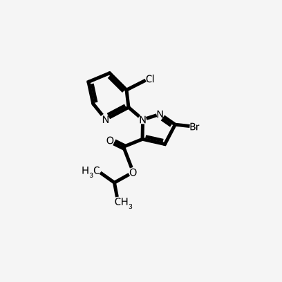 CC(C)OC(=O)c1cc(Br)nn1-c1ncccc1Cl